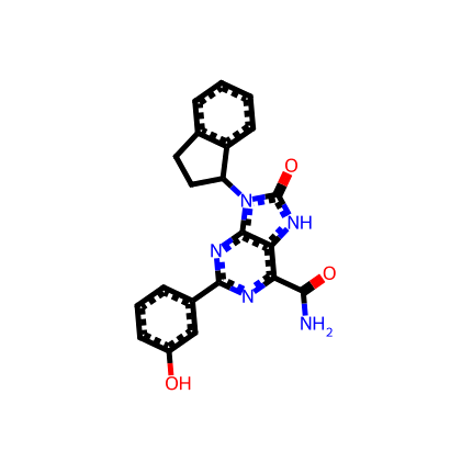 NC(=O)c1nc(-c2cccc(O)c2)nc2c1[nH]c(=O)n2C1CCc2ccccc21